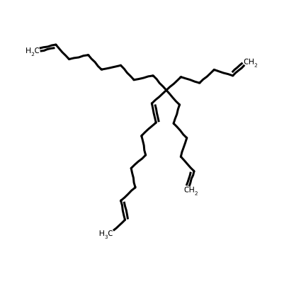 C=CCCCCCCC(C=CCCCCC=CC)(CCCC=C)CCCCC=C